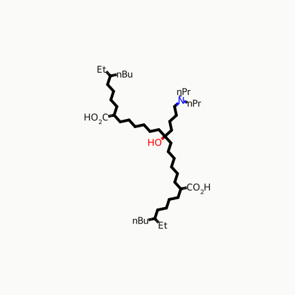 CCCCC(CC)CCCCC(CCCCCCC(O)(CCCCCCC(CCCCC(CC)CCCC)C(=O)O)CCCCN(CCC)CCC)C(=O)O